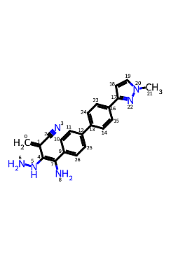 C=C(C#N)/C(NN)=C(/N)c1ccc(-c2ccc(-c3ccn(C)n3)cc2)cc1